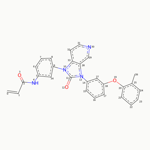 C=CC(=O)Nc1cccc(-n2c(=O)n(-c3cccc(Oc4ccccc4C)c3)c3cnccc32)c1